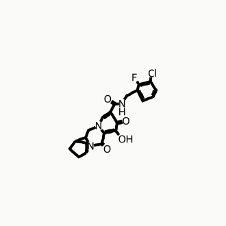 O=C(NCc1cccc(Cl)c1F)c1cn2c(c(O)c1=O)C(=O)N1C3CCC(C3)C1C2